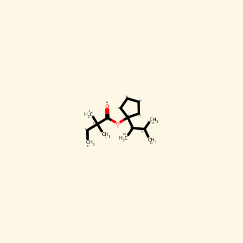 CCC(C)(C)C(=O)OC1(C(C)C(C)C)CCCC1